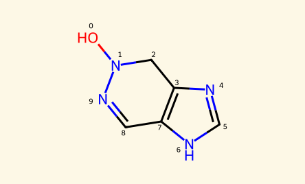 ON1Cc2nc[nH]c2C=N1